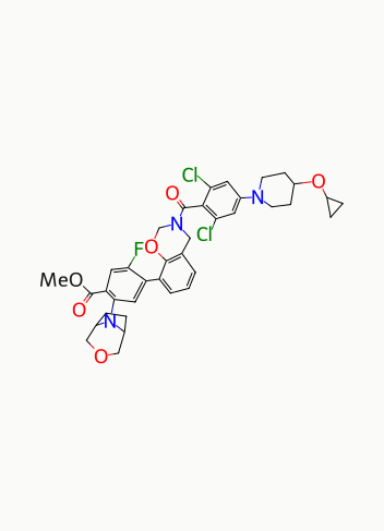 COC(=O)c1cc(F)c(-c2cccc3c2OCN(C(=O)c2c(Cl)cc(N4CCC(OC5CC5)CC4)cc2Cl)C3)cc1N1C2CCC1COC2